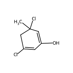 CC1(Cl)C=C(O)C=C(Cl)C1